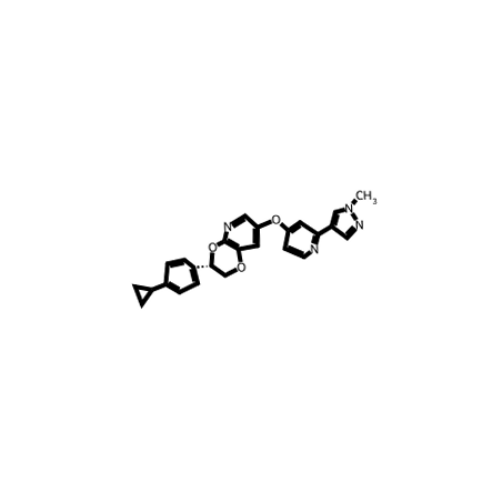 Cn1cc(-c2cc(Oc3cnc4c(c3)OC[C@H](c3ccc(C5CC5)cc3)O4)ccn2)cn1